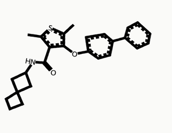 Cc1sc(C)c(C(=O)NC2CC3(CCC3)C2)c1Oc1ccc(-c2ccccc2)cc1